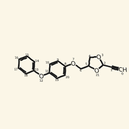 C#CC1OCC(COc2ccc(Oc3ccccc3)cc2)O1